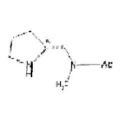 CC(=O)N(C)C[C@H]1CCCN1